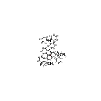 CC1(C)c2ccccc2-c2ccc(N(c3ccc4c5ccccc5n(-c5ccccc5)c4c3)c3ccccc3-c3cccc4c3-c3ccccc3C4(C)C)cc21